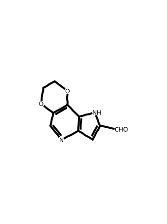 O=Cc1cc2ncc3c(c2[nH]1)OCCO3